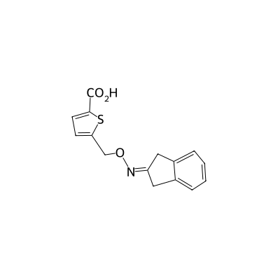 O=C(O)c1ccc(CON=C2Cc3ccccc3C2)s1